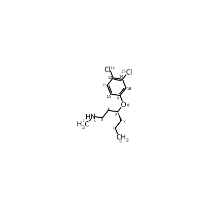 CCC[C@@H](CCNC)Oc1ccc(Cl)c(Cl)c1